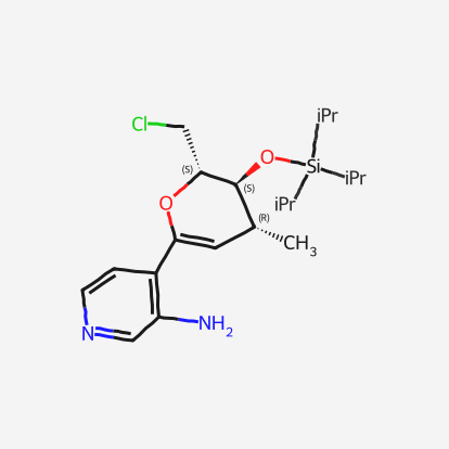 CC(C)[Si](O[C@H]1[C@H](C)C=C(c2ccncc2N)O[C@@H]1CCl)(C(C)C)C(C)C